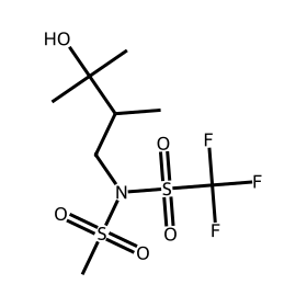 CC(CN(S(C)(=O)=O)S(=O)(=O)C(F)(F)F)C(C)(C)O